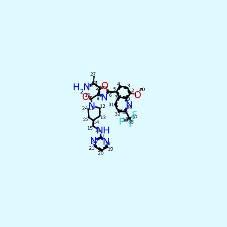 COc1ccc(-c2nc(C(=O)N3CCC(CNc4ncccn4)CC3)c([C@H](C)N)o2)c2ccc(C(F)(F)F)nc12